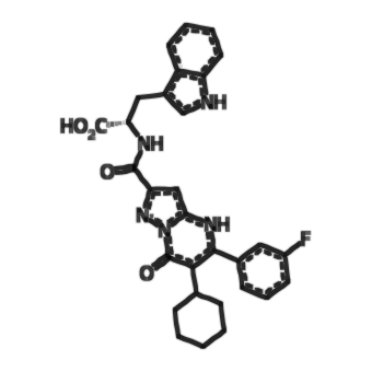 O=C(N[C@@H](Cc1c[nH]c2ccccc12)C(=O)O)c1cc2[nH]c(-c3cccc(F)c3)c(C3CCCCC3)c(=O)n2n1